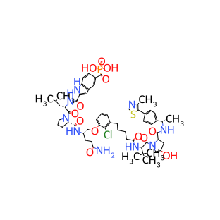 Cc1ncsc1-c1ccc([C@H](C)NC(=O)C2C[C@@H](O)CN2C(=O)[C@@H](NC(=O)CCCCc2cccc(OC[C@H](CCC(N)=O)NC(=O)[C@@H]3CCCN3C(=O)[C@H](CC(C)C)NC(=O)c3cc4cc(C(=O)P(=O)(O)O)ccc4[nH]3)c2Cl)C(C)(C)C)cc1